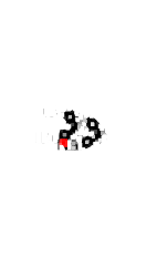 CC(C)(C)c1ccc(OP(=O)([O-])Oc2ccc(C(C)(C)C)cc2)cc1.CC(C)(C)c1ccc(OP(=O)([O-])Oc2ccc(C(C)(C)C)cc2)cc1.[Na+].[Na+]